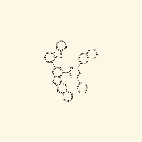 c1ccc(C2=NC(c3ccc4ccccc4c3)NC(c3cc(-c4cccc5c4oc4ccccc45)cc4oc5cc6ccccc6cc5c34)=N2)cc1